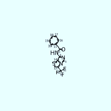 O=C(Nc1ncn2c(C(F)(F)F)csc12)c1ccccc1